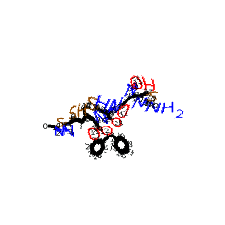 Cc1nnc(C(S)=CC2=C(C(=O)OC(c3ccccc3)c3ccccc3)N3C(=O)C(NC(=O)C(=NO)c4csc(N)n4)C3SC2)s1